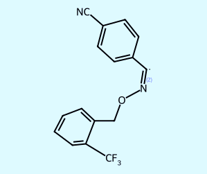 N#Cc1ccc(/[C]=N\OCc2ccccc2C(F)(F)F)cc1